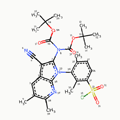 Cc1cc2c(C#N)c(N(C(=O)OC(C)(C)C)C(=O)OC(C)(C)C)n(-c3c(C)ccc(S(=O)(=O)Cl)c3C)c2nc1C